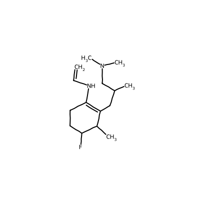 C=CNC1=C(CC(C)CN(C)C)C(C)C(F)CC1